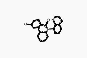 O=c1c2ccc(Cl)cc2c2ccccc2n1-c1cccc2cccnc12